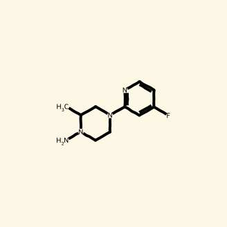 CC1CN(c2cc(F)ccn2)CCN1N